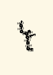 C=CC(=O)Nc1ccc(C(=O)Nc2cccc(NC(=O)c3cc(-c4ccc(C(=O)Nc5ccc(NC(=O)c6cccc(-c7ccn[nH]7)n6)cc5)cc4NC(=O)/C=C/CN(C)C)cc(-c4ccn[nH]4)n3)c2)cc1